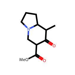 COC(=O)C1CN2CCCC2C(C)C1=O